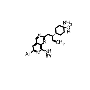 C=CC(Cc1ncc2cc(C(C)=O)nc(NC(C)C)c2n1)[C@H]1CC[C@](N)(O)CC1